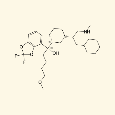 CNCC(CC1CCCCC1)N1CCC[C@@H]([C@@](O)(CCCCOC)c2cccc3c2OC(F)(F)O3)C1